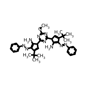 COc1nc(C2C=C(C(C)(C)C)C(/N=N/c3ccccc3)=C2N)nc(C2C=C(C(C)(C)C)C(/N=N/c3ccccc3)=C2N)n1